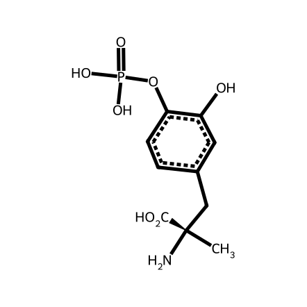 C[C@](N)(Cc1ccc(OP(=O)(O)O)c(O)c1)C(=O)O